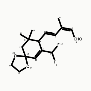 CC(=C/C=O)/C=C/C1C(C(F)F)=CC2(CC1(C)C)OCCO2